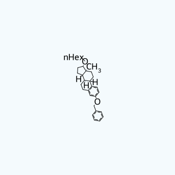 CCCCCCO[C@H]1CC[C@H]2[C@@H]3CCc4cc(OCc5ccccc5)ccc4[C@H]3CC[C@]12C